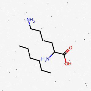 CCCCCC.NCCCCC(N)C(=O)O